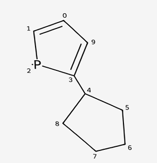 C1=C[P]C(C2CCCC2)=C1